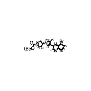 Cc1nn(C2CCN(C(=O)OC(C)(C)C)CC2)cc1-c1cnc2cccc(Br)c2n1